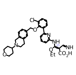 CCO/C(Nc1cccc(-c2cccc(Cl)c2OCc2ccc3c(c2)CCN(C2CCOCC2)C3)n1)=C(/C=N)C(=O)O